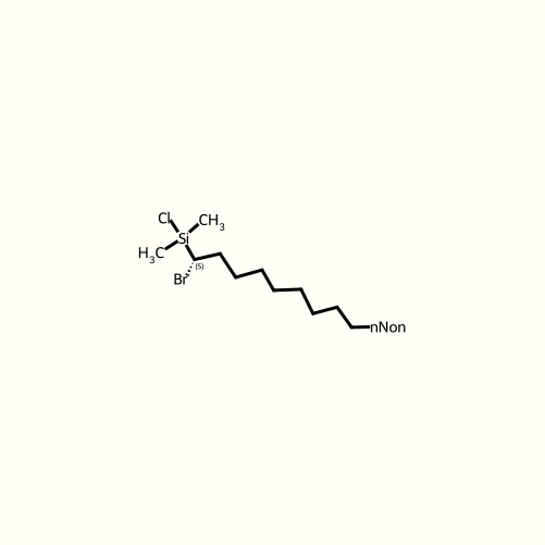 CCCCCCCCCCCCCCCCC[C@H](Br)[Si](C)(C)Cl